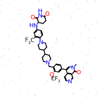 Cn1cc(-c2ccc(CN3CCC(C4CCN(c5ccc(NC6CCC(=O)NC6=O)cc5C(F)(F)F)CC4)CC3)c(OC(F)(F)F)c2)c2ccncc2c1=O